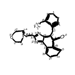 O=C1C(c2ccccc2C(F)(F)F)=C2N=C(N3CCOCC3)N=C2c2ccccc21